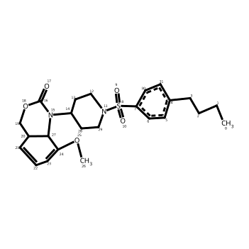 CCCCc1ccc(S(=O)(=O)N2CCC(N3C(=O)OCC4C=CC=C(OC)C43)CC2)cc1